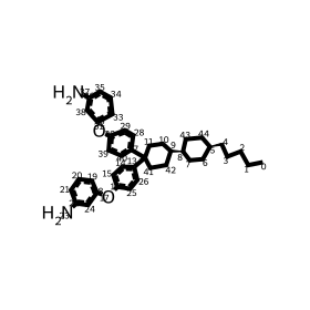 CCCCC[C@H]1CC[C@@H](C2CCC(c3ccc(Oc4cccc(N)c4)cc3)(c3ccc(Oc4cccc(N)c4)cc3)CC2)CC1